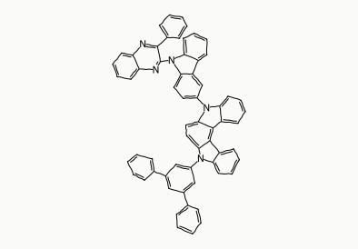 c1ccc(-c2cc(-c3ccccc3)cc(-n3c4ccccc4c4c5c6ccccc6n(-c6ccc7c(c6)c6ccccc6n7-c6nc7ccccc7nc6-c6ccccc6)c5ccc43)c2)cc1